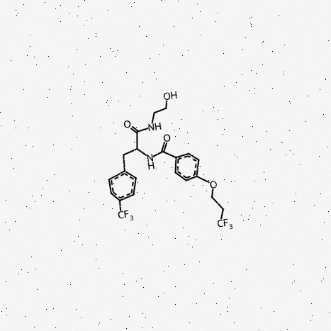 O=C(NC(Cc1ccc(C(F)(F)F)cc1)C(=O)NCCO)c1ccc(OCCC(F)(F)F)cc1